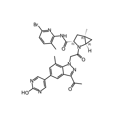 CC(=O)c1nn(CC(=O)N2[C@H](C(=O)Nc3nc(Br)ccc3C)C[C@@]3(C)C[C@@H]23)c2c(C)cc(-c3cnc(O)nc3)cc12